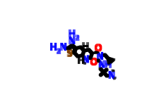 CN(C)CC(C)(C)CNC(=O)N(CC1CC1)C(=O)[C@@H]1C[C@@H]2Cc3c(sc(N)c3N)C[C@H]2N(C)C1